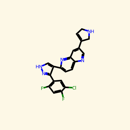 Fc1cc(F)c(-c2n[nH]cc2-c2ccc3ncc(C4=CCNC4)cc3n2)cc1Cl